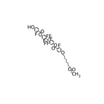 C=CC(=O)OCCCCCCCCOc1ccc(C(=O)Oc2ccc(C(c3ccc(OC(=O)c4ccc(O)cc4F)cc3)(C(F)(F)F)C(F)(F)F)cc2)c(F)c1